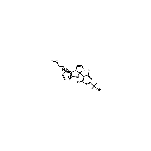 CCOCCc1cccc(NC2(c3c(F)cc(C(C)(C)O)cc3F)SC=CC2C(N)=O)n1